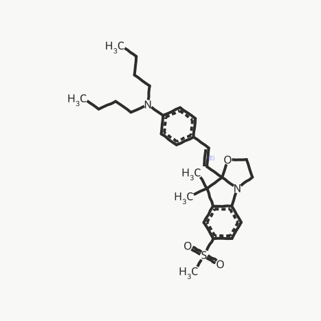 CCCCN(CCCC)c1ccc(/C=C/C23OCCN2c2ccc(S(C)(=O)=O)cc2C3(C)C)cc1